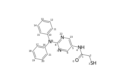 O=C(CS)Nc1cnc(N(c2ccccc2)c2ccccc2)nc1